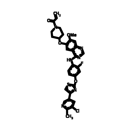 C=CC(=O)N1CCC(Oc2cc3c(Nc4ccc(Oc5nc(-c6cnc(C)c(Cl)c6)cs5)cc4F)ncnc3cc2OC)CC1